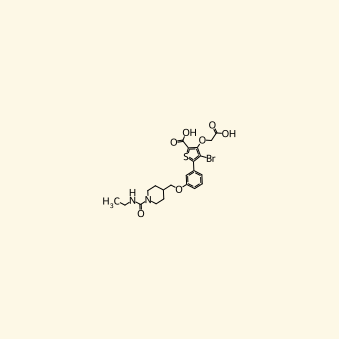 CCNC(=O)N1CCC(COc2cccc(-c3sc(C(=O)O)c(OCC(=O)O)c3Br)c2)CC1